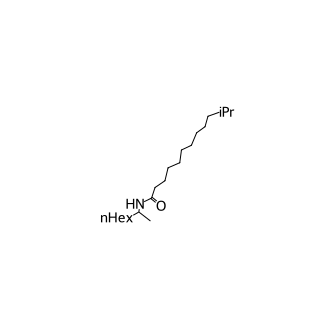 CCCCCCC(C)NC(=O)CCCCCCCCCC(C)C